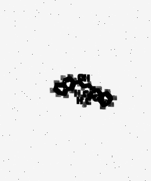 CC(C)(C)N(CCC(O)c1ccc2ccccc2c1)Cc1ccccc1